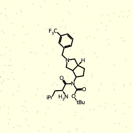 CC(C)C[C@H](N)C(=O)N(C(=O)OC(C)(C)C)C1CC[C@H]2CN(Cc3cccc(C(F)(F)F)c3)CC12